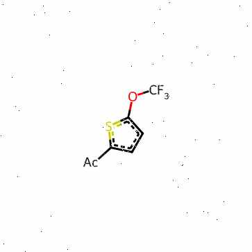 CC(=O)c1ccc(OC(F)(F)F)s1